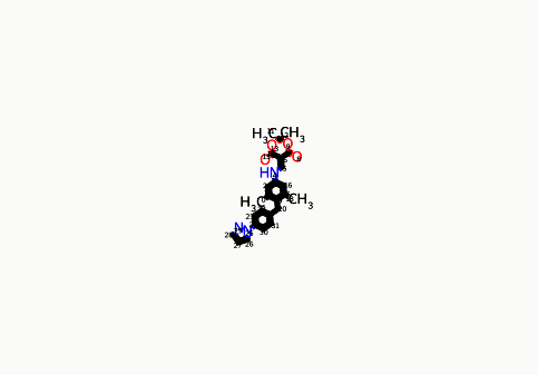 Cc1cc(NC=C2C(=O)OC(C)(C)OC2=O)cc(C)c1Cc1ccc(-n2cccn2)cc1